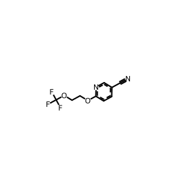 N#Cc1ccc(OCCOC(F)(F)F)nc1